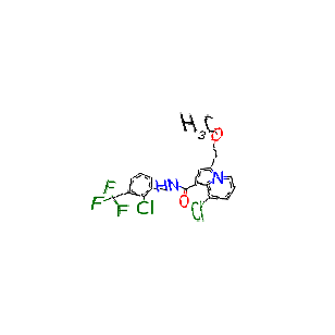 COCCc1cc(C(=O)NCc2cccc(C(F)(F)F)c2Cl)c2c(Cl)cccn12